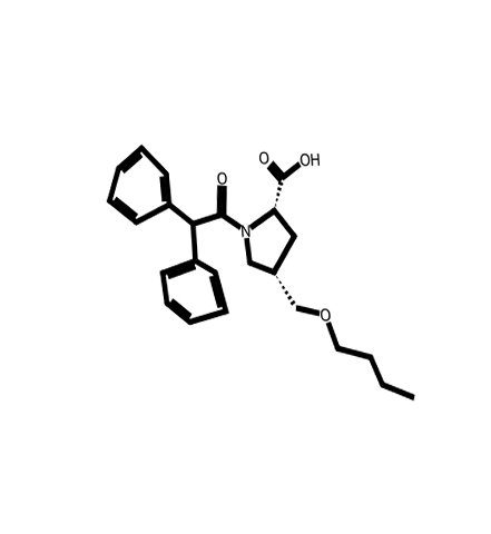 CCCCOC[C@H]1C[C@@H](C(=O)O)N(C(=O)C(c2ccccc2)c2ccccc2)C1